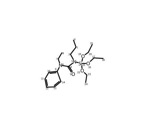 CCCN(C(=O)N(CC)c1ccccc1)[Si](OCC)(OCC)OCC